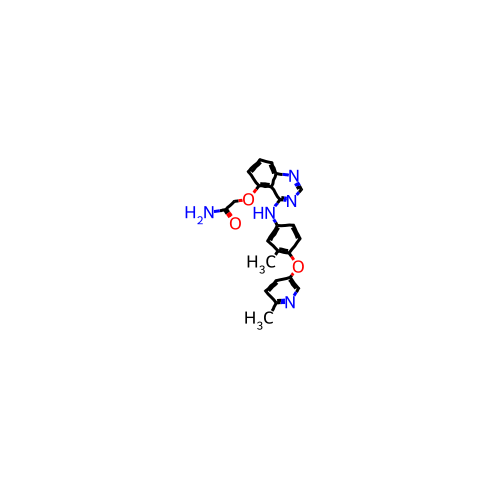 Cc1ccc(Oc2ccc(Nc3ncnc4cccc(OCC(N)=O)c34)cc2C)cn1